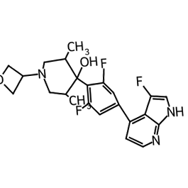 CC1CN(C2COC2)CC(C)C1(O)c1c(F)cc(-c2ccnc3[nH]cc(F)c23)cc1F